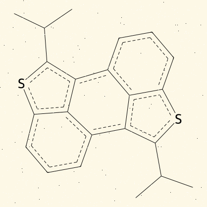 CC(C)c1sc2cccc3c4c(C(C)C)sc5cccc(c1c23)c54